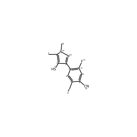 Cc1c(S)c(-c2cc(F)c(C#N)cc2F)nn1C